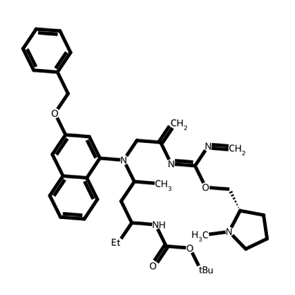 C=N/C(=N\C(=C)CN(c1cc(OCc2ccccc2)cc2ccccc12)C(C)CC(CC)NC(=O)OC(C)(C)C)OC[C@@H]1CCCN1C